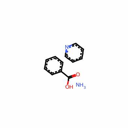 N.O=C(O)c1ccccc1.c1ccncc1